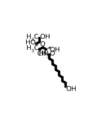 CC(C)C(OC(CO)[C@H](C)O)[C@H](CO)NC(=O)CCCCCCCCCCCO